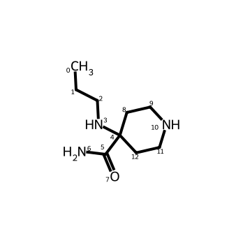 CCCNC1(C(N)=O)CCNCC1